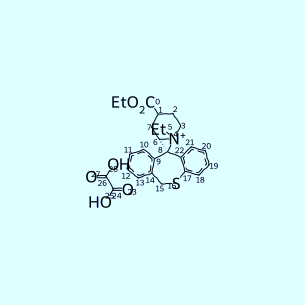 CCOC(=O)C1CC[N+]2(CC)C(C1)[C@]21c2ccccc2CSc2ccccc21.O=C(O)C(=O)O